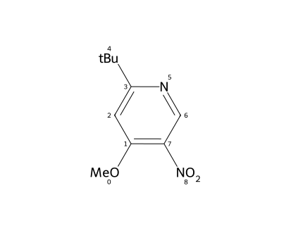 COc1cc(C(C)(C)C)ncc1[N+](=O)[O-]